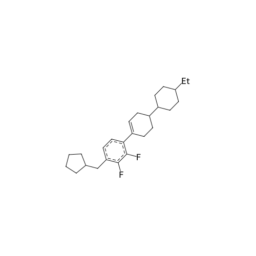 CCC1CCC(C2CC=C(c3ccc(CC4CCCC4)c(F)c3F)CC2)CC1